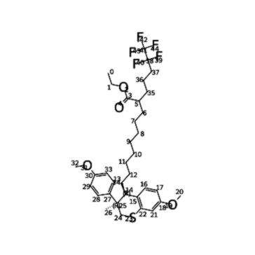 CCOC(=O)C(CCCCCCCC[C@H]1c2ccc(OC)cc2SC[C@@]1(C)c1ccc(OC)cc1)CCCC(F)(F)C(F)(F)F